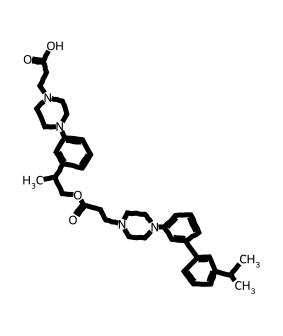 CC(C)c1cccc(-c2cccc(N3CCN(CCC(=O)OCC(C)c4cccc(N5CCN(CCC(=O)O)CC5)c4)CC3)c2)c1